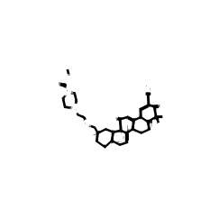 COC(=O)N1CCN(CC(=O)NC[C@@]2(C)CC[C@]3(C)CC[C@@]4(C)[C@]5(C)CC[C@H]6C(C)(C)C(=O)C(C#N)=C[C@]6(C)C5=CC(=O)[C@]4(O)[C@@H]3C2)CC1